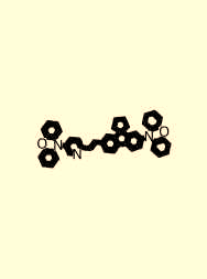 C1=CC2=C(CC1)OC1=C(CCC=C1)N2c1ccc2c(c1)C1(CCCC1)c1cc(/C=C/c3ccc(N4c5ccccc5Oc5ccccc54)cn3)ccc1-2